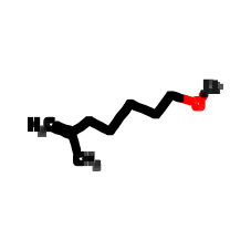 C=C(C)CCCCCO[CH]C